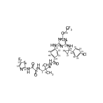 CC(C)(CNC(=O)C(=O)Nc1ncc(F)s1)CNC(=O)c1ccc(Nc2nc(NC3(c4ccc(Cl)cc4)CC3)nc(OCC(F)(F)F)n2)cc1